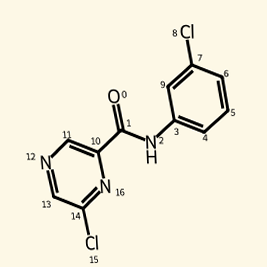 O=C(Nc1cccc(Cl)c1)c1cncc(Cl)n1